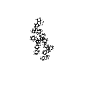 CC1(C)c2ccccc2-c2ccc(-n3c4ccccc4c4cc(-c5ccc6c7ccc(-c8ccc9c(c8)c8ccccc8n9-c8ccc9c(c8)C(C)(C)c8ccccc8-9)cc7n(-c7nc(-c8ccccc8)cc(-c8ccc(-c9ccccc9)cc8)n7)c6c5)ccc43)cc21